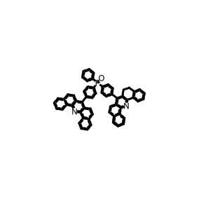 O=P(c1ccccc1)(c1ccc(-c2c3c(nc4c2ccc2ccccc24)-c2ccccc2CC3)cc1)c1ccc(-c2c3ccc4ccccc4c3nc3c2ccc2ccccc23)cc1